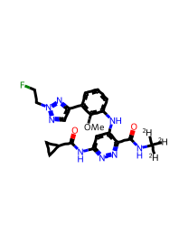 [2H]C([2H])([2H])NC(=O)c1nnc(NC(=O)C2CC2)cc1Nc1cccc(-c2cnn(CCF)n2)c1OC